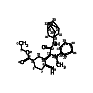 CCOC(=O)C1CCC(=N)/C(=C(/C(=O)NC23CC4CC(C2)C(C4)C3)N(C)c2ccccc2)C1